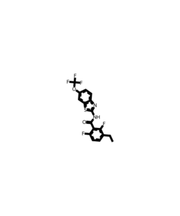 CCc1ccc(F)c(C(=O)Nc2nc3ccc(OC(F)(F)F)cc3s2)c1F